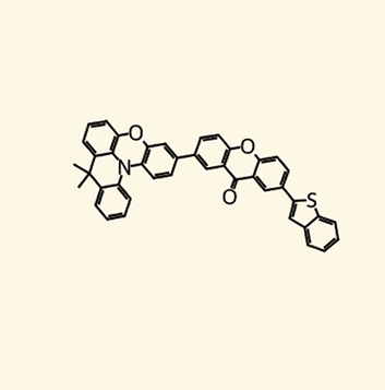 CC1(C)c2ccccc2N2c3ccc(-c4ccc5oc6ccc(-c7cc8ccccc8s7)cc6c(=O)c5c4)cc3Oc3cccc1c32